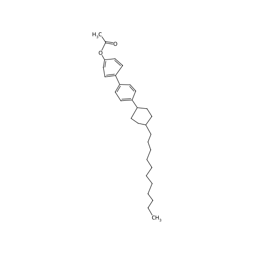 CCCCCCCCCCCC1CCC(c2ccc(-c3ccc(OC(C)=O)cc3)cc2)CC1